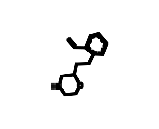 C=Cc1ccccc1CCC1CNCCO1